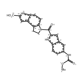 CC(C)(C)OC(=O)Nc1ccc2[nH]c(C(=O)N3CCc4c3ccc3[nH]c(C(=O)O)cc43)cc2c1